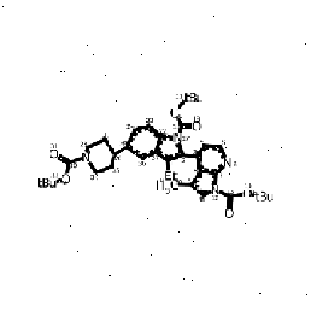 CCc1c(-c2ccnc3c2c(C)cn3C(=O)OC(C)(C)C)n(C(=O)OC(C)(C)C)c2ccc(C3CCN(C(=O)OC(C)(C)C)CC3)cc12